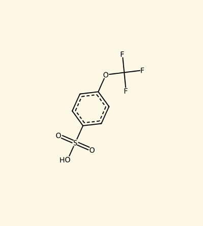 O=S(=O)(O)c1ccc(OC(F)(F)F)cc1